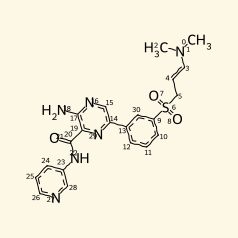 CN(C)C=CCS(=O)(=O)c1cccc(-c2cnc(N)c(C(=O)Nc3cccnc3)n2)c1